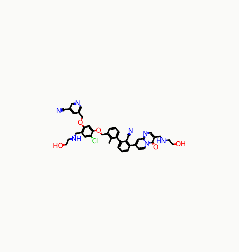 Cc1c(COc2cc(OCc3cncc(C#N)c3)c(CNCCO)cc2Cl)cccc1-c1cccc(-c2ccn3c(=O)c(CNCCO)cnc3c2)c1C#N